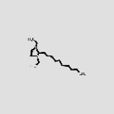 CCCCCCCCCCC1N(CC)C=CN1CC